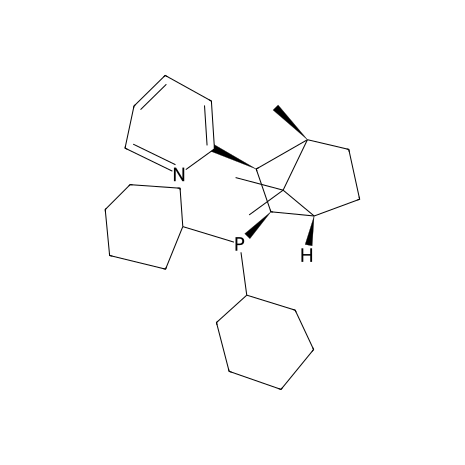 CC1(C)[C@@H]2CC[C@@]1(C)[C@H](c1ccccn1)[C@@H]2P(C1CCCCC1)C1CCCCC1